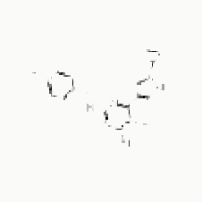 Nc1nc(NCc2ccc(F)cc2)nc(-c2cc(C3CC3)[nH]n2)c1[N+](=O)[O-]